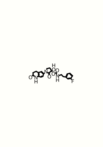 O=C1CCc2cc(N3CCC(O)(OC(=O)NCCc4cccc(F)c4)C3=O)ccc2N1